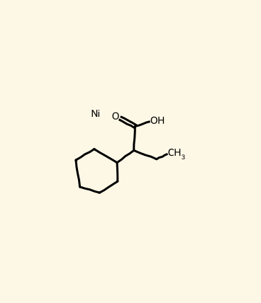 CCC(C(=O)O)C1CCCCC1.[Ni]